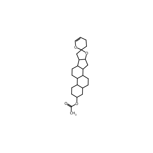 CC(=O)OC1CCC2C(CCC3C2CCC2C4CC5(CCC=CO5)OC4CC23)C1